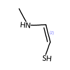 CN/C=C\S